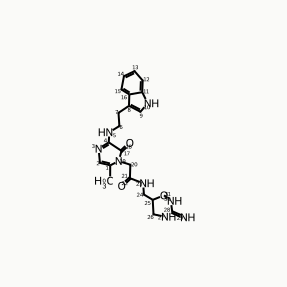 Cc1cnc(NCCc2c[nH]c3ccccc23)c(=O)n1CC(=O)NCC1CNC(=N)NO1